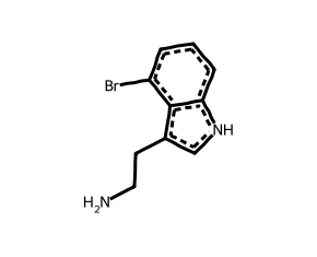 NCCc1c[nH]c2cccc(Br)c12